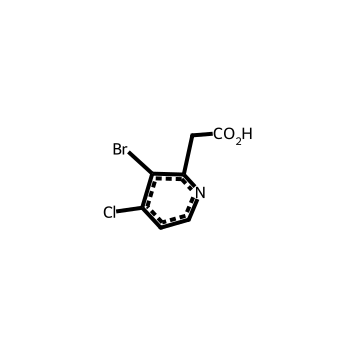 O=C(O)Cc1nccc(Cl)c1Br